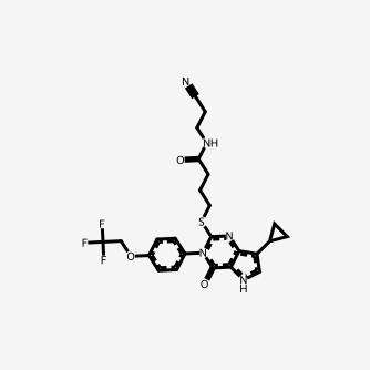 N#CCCNC(=O)CCCSc1nc2c(C3CC3)c[nH]c2c(=O)n1-c1ccc(OCC(F)(F)F)cc1